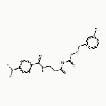 C=C(CCNC(=O)c1cnc(C(F)F)cn1)NC(=O)COCc1cccc(Cl)c1